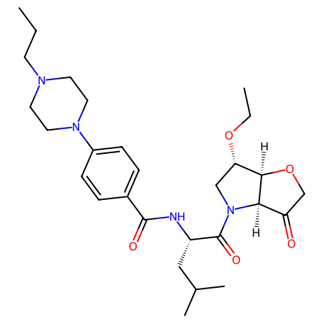 CCCN1CCN(c2ccc(C(=O)N[C@@H](CC(C)C)C(=O)N3C[C@H](OCC)[C@H]4OCC(=O)[C@H]43)cc2)CC1